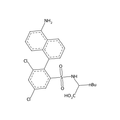 CCCCC(NS(=O)(=O)c1cc(Cl)cc(Cl)c1-c1cccc2c(N)cccc12)C(=O)O